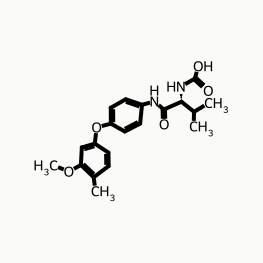 COc1cc(Oc2ccc(NC(=O)[C@H](NC(=O)O)C(C)C)cc2)ccc1C